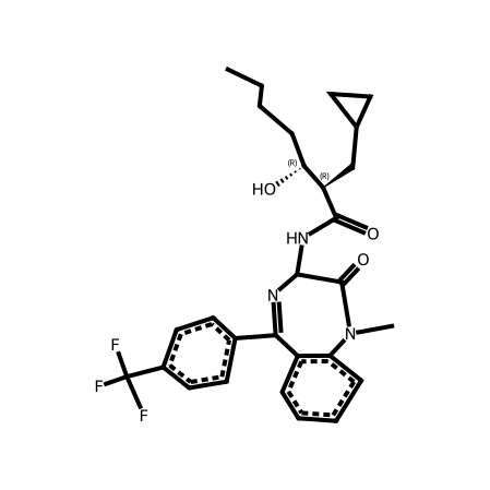 CCCC[C@@H](O)[C@@H](CC1CC1)C(=O)NC1N=C(c2ccc(C(F)(F)F)cc2)c2ccccc2N(C)C1=O